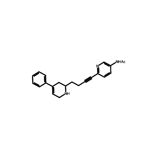 CC(=O)Nc1ccc(C#CCCC2CC(c3ccccc3)=CCN2)nc1